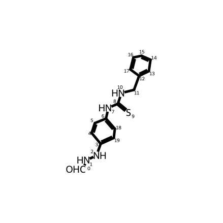 O=CNNc1ccc(NC(=S)NCc2ccccc2)cc1